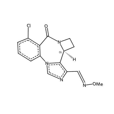 CON=Cc1ncn2c1[C@@H]1CCN1C(=O)c1c(Cl)cccc1-2